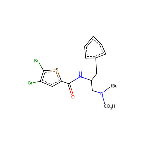 CC(C)(C)N(CC(Cc1ccccc1)NC(=O)c1cc(Br)c(Br)s1)C(=O)O